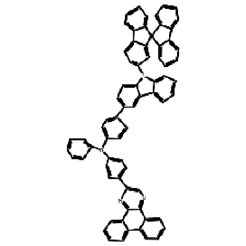 c1ccc(N(c2ccc(-c3ccc4c(c3)c3ccccc3n4-c3ccc4c(c3)C3(c5ccccc5-c5ccccc53)c3ccccc3-4)cc2)c2ccc(-c3cnc4c5ccccc5c5ccccc5c4n3)cc2)cc1